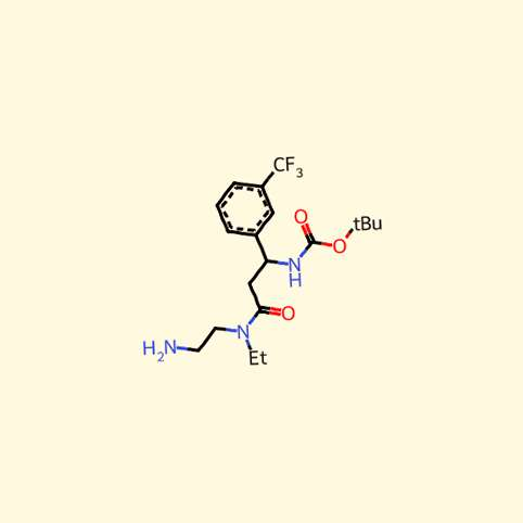 CCN(CCN)C(=O)CC(NC(=O)OC(C)(C)C)c1cccc(C(F)(F)F)c1